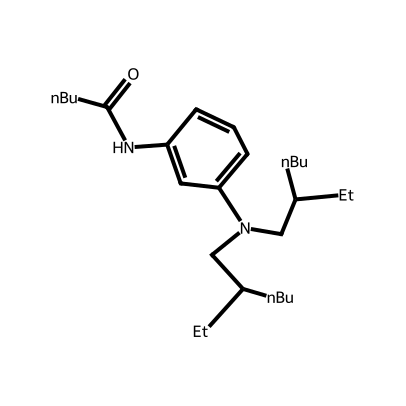 CCCCC(=O)Nc1cccc(N(CC(CC)CCCC)CC(CC)CCCC)c1